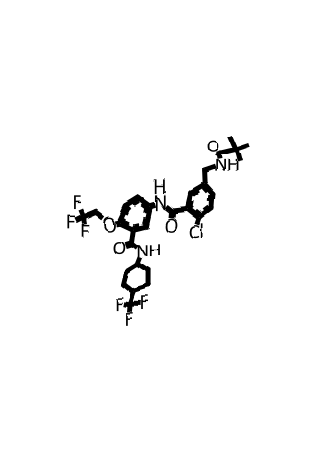 CC(C)(C)C(=O)NCc1ccc(Cl)c(C(=O)Nc2ccc(OCC(F)(F)F)c(C(=O)NC3CCC(C(F)(F)F)CC3)c2)c1